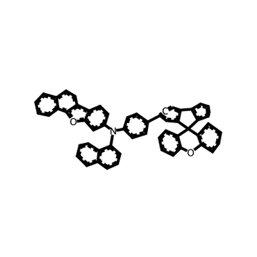 c1ccc2c(c1)Oc1ccccc1C21c2ccccc2-c2ccc(-c3ccc(N(c4ccc5c(c4)oc4c6ccccc6ccc54)c4cccc5ccccc45)cc3)cc21